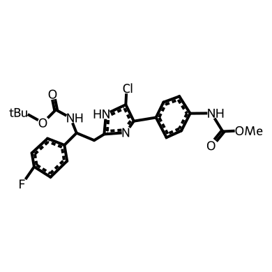 COC(=O)Nc1ccc(-c2nc(CC(NC(=O)OC(C)(C)C)c3ccc(F)cc3)[nH]c2Cl)cc1